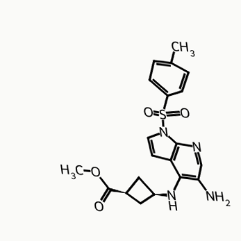 COC(=O)[C@H]1C[C@@H](Nc2c(N)cnc3c2ccn3S(=O)(=O)c2ccc(C)cc2)C1